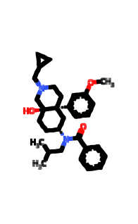 COc1cccc([C@@]23CCN(CC4CC4)C[C@@]2(O)CC[C@@H](N(CC(C)C)C(=O)c2ccccc2)C3)c1